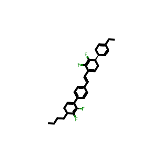 CCCCC1CC=C(c2ccc(/C=C/C3=CCC([C@@H]4C=CC(CC)=CC4)C(F)=C3F)cc2)C(F)=C1F